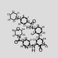 Cc1c(NC(=O)c2ccc(N3CCCCC3)cc2)cccc1-c1cc(Nc2ccc(C(=O)N3CCOCC3)cn2)c(=O)n(C)c1